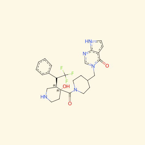 O=C(N1CCC(Cn2cnc3[nH]ccc3c2=O)CC1)[C@@]1(O)CCNC[C@H]1C(c1ccccc1)C(F)(F)F